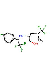 C[C@@H](C[C@@H](CO)N[C@@H](c1ccc(Br)cc1)C(F)(F)F)C(F)(F)F